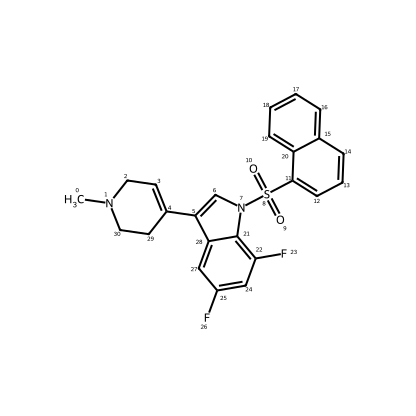 CN1CC=C(c2cn(S(=O)(=O)c3cccc4ccccc34)c3c(F)cc(F)cc23)CC1